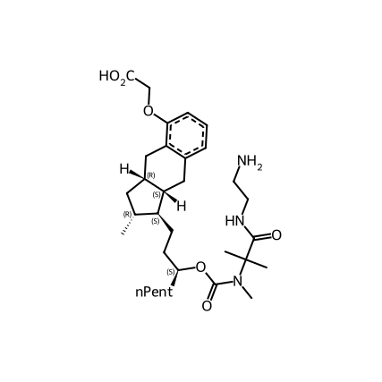 CCCCC[C@@H](CC[C@@H]1[C@H]2Cc3cccc(OCC(=O)O)c3C[C@H]2C[C@H]1C)OC(=O)N(C)C(C)(C)C(=O)NCCN